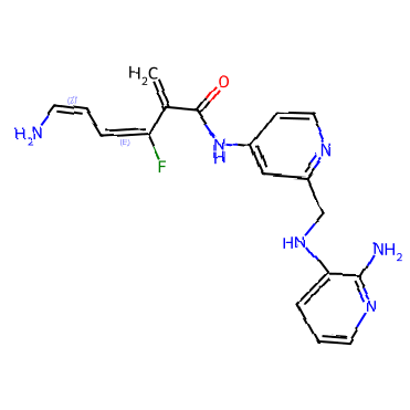 C=C(C(=O)Nc1ccnc(CNc2cccnc2N)c1)/C(F)=C\C=C/N